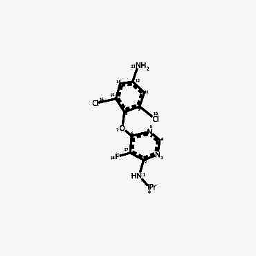 CC(C)Nc1ncnc(Oc2c(Cl)cc(N)cc2Cl)c1F